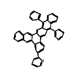 c1ccc(-c2c3ccccc3c(-c3ccccc3)c3cc4c5cc6ccccc6cc5c5cc(-c6ccccn6)ccc5c4cc23)cc1